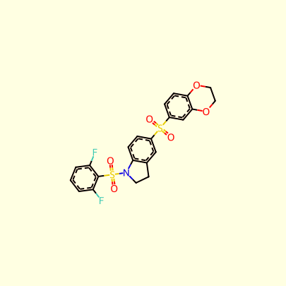 O=S(=O)(c1ccc2c(c1)CCN2S(=O)(=O)c1c(F)cccc1F)c1ccc2c(c1)OCCO2